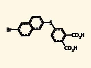 O=C(O)c1ccc(Sc2ccc3cc(Br)ccc3c2)cc1C(=O)O